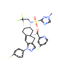 Cn1cnc(S(=O)(=O)N(CC(F)(F)F)[C@H]2CCC3=Cc4c(cnn4-c4ccc(F)cc4)C[C@]3(C(=O)c3cc(F)ccn3)C2)n1